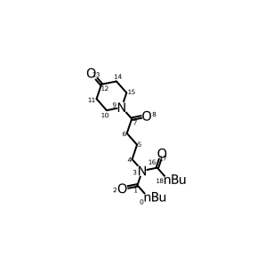 CCCCC(=O)N(CCCC(=O)N1CCC(=O)CC1)C(=O)CCCC